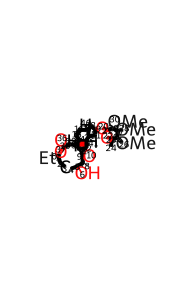 CC[C@H]1CCC[C@H](O)[C@@H](C)C(=O)C2=C[C@@H]3[C@@H](C=C[C@@H]4C[C@@H](OC5OC(C)C(OC)C(OC)C5OC)C[C@@H]34)[C@@H]2CC(=O)O1